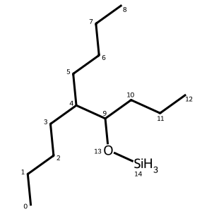 CCCCC(CCCC)C(CCC)O[SiH3]